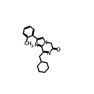 Cc1ccccc1-c1cn2c(n1)C(CC1CCCCC1)=NC(=O)C2